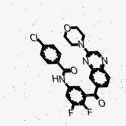 O=C(Nc1cc(F)c(F)c(C(=O)c2ccc3ncc(N4CCOCC4)nc3c2)c1)c1ccc(Cl)cc1